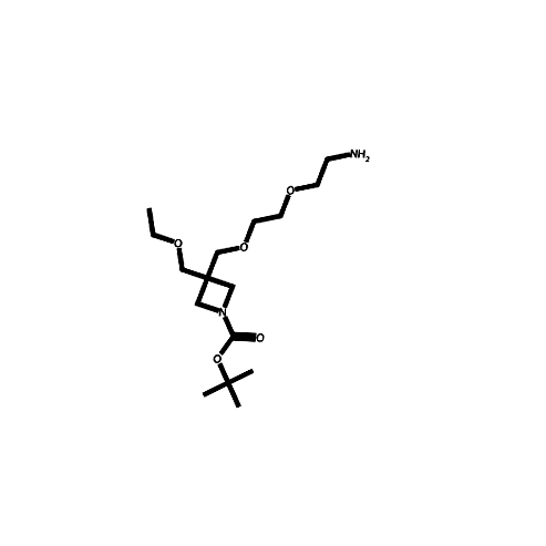 CCOCC1(COCCOCCN)CN(C(=O)OC(C)(C)C)C1